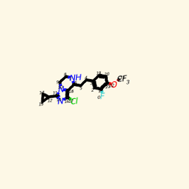 Fc1cc(CCC2NCCn3c(C4CC4)nc(Cl)c32)ccc1OC(F)(F)F